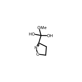 COC(O)(O)C1=NOCC1